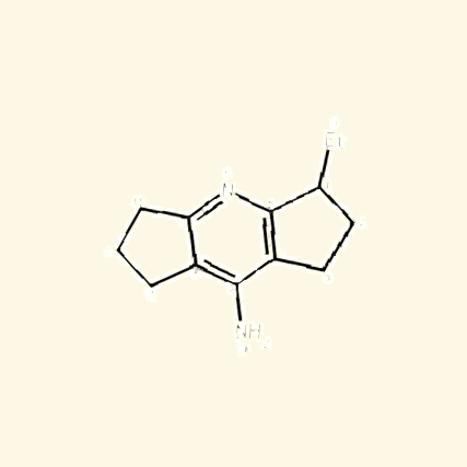 CCC1CCc2c1nc1c(c2N)CCC1